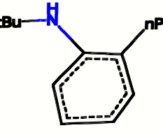 CCCc1ccccc1NC(C)(C)C